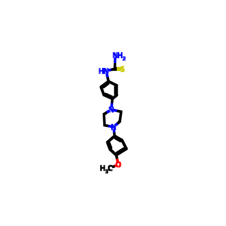 COc1ccc(N2CCN(c3ccc(NC(N)=S)cc3)CC2)cc1